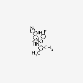 Cc1cc(C)cc(NC(=O)N2C(c3cccc(F)c3)c3[nH]c4cnccc4c3CC23CC3)c1